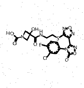 O=C(O)N1CC(O)(C(=O)NCCSc2nonc2-c2noc(=O)n2-c2ccc(F)c(Cl)c2)C1